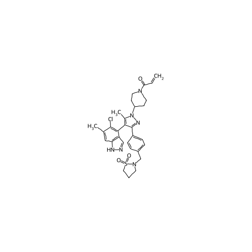 C=CC(=O)N1CCC(n2nc(-c3ccc(CN4CCCS4(=O)=O)cc3)c(-c3c(Cl)c(C)cc4[nH]ncc34)c2C)CC1